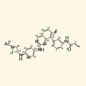 C=CC(=O)Nc1cccc(-c2c(F)ccc3cnc(Nc4ccc(NC5CN(C(C)=O)C5)nc4)nc23)c1